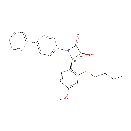 CCCCOc1cc(OC)ccc1[C@@H]1[C@H](O)C(=O)N1c1ccc(-c2ccccc2)cc1